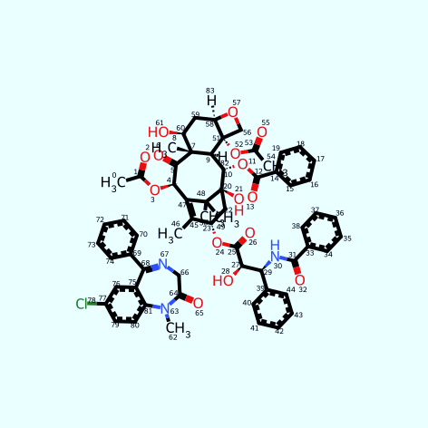 CC(=O)O[C@H]1C(=O)[C@@]2(C)[C@H]([C@H](OC(=O)c3ccccc3)[C@]3(O)C[C@H](OC(=O)[C@H](O)[C@@H](NC(=O)c4ccccc4)c4ccccc4)C(C)=C1C3(C)C)[C@]1(OC(C)=O)CO[C@@H]1C[C@@H]2O.CN1C(=O)CN=C(c2ccccc2)c2cc(Cl)ccc21